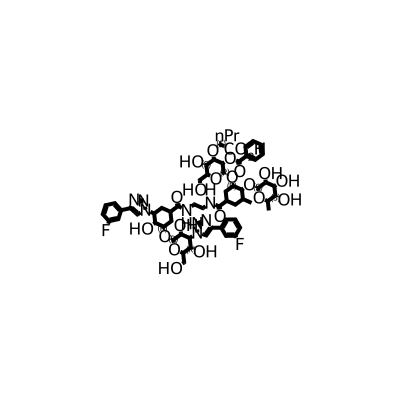 CCC[C@H](OC1C(OC(=O)c2ccccc2)[C@H](O[C@@H]2CC(C(=O)NCCNC(=O)C3CC(n4cc(-c5cccc(F)c5)nn4)C(O)[C@H](O[C@@H]4OC(CO)[C@H](O)C(n5cc(-c6cccc(F)c6)nn5)C4O)C3)CC(C)C2O[C@@H]2OC(C)[C@@H](O)C(O)C2O)OC(CO)[C@@H]1O)C(=O)O